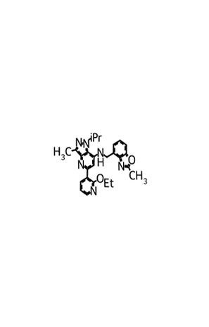 CCOc1ncccc1-c1cc(NCc2cccc3oc(C)nc23)c2c(n1)c(C)nn2C(C)C